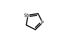 C1=P[CH]=[Sb][CH2]1